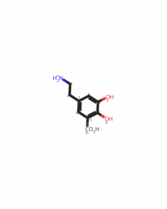 NCCc1cc(O)c(O)c(C(=O)O)c1